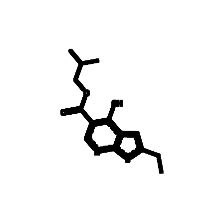 CCc1cc2c(O)c(C(=O)OCC(C)C)cnc2s1